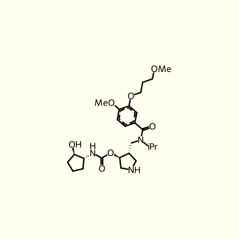 COCCCOc1cc(C(=O)N(C[C@@H]2CNC[C@H]2OC(=O)N[C@@H]2CCC[C@H]2O)C(C)C)ccc1OC